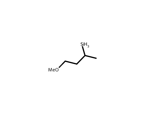 COCCC(C)[SiH3]